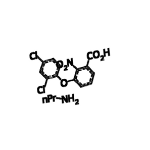 CCCN.O=C(O)c1cccc(Oc2ccc(Cl)cc2Cl)c1[N+](=O)[O-]